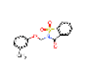 Cc1cccc(OCN2C(=O)c3ccccc3S2(=O)=O)c1